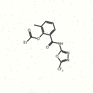 CCC(=O)Oc1c(C)cccc1C(=O)Nc1nnc(C(F)(F)F)o1